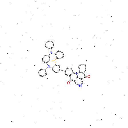 O=c1c2ccccc2n2c3ccc(-c4ccc5c(c4)P4c6ccccc6N(c6ccccc6)c6cccc(c64)N5c4ccccc4)cc3c(=O)c3cncc1c32